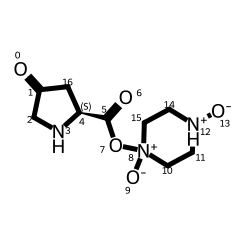 O=C1CN[C@H](C(=O)O[N+]2([O-])CC[NH+]([O-])CC2)C1